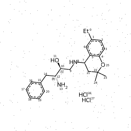 CCc1ccc2c(c1)C(NC[C@H](O)[C@H](N)Cc1ccccc1)CC(C)(C)O2.Cl.Cl